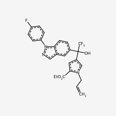 C=CCn1cc(C(O)(c2ccc3c(cnn3-c3ccc(F)cc3)c2)C(F)(F)F)cc1C(=O)OCC